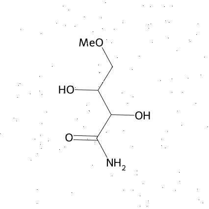 COCC(O)C(O)C(N)=O